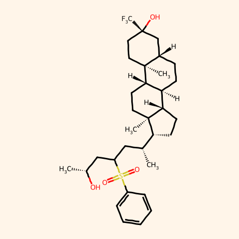 C[C@H](CC(C[C@@H](C)O)S(=O)(=O)c1ccccc1)[C@H]1CC[C@H]2[C@@H]3CC[C@H]4C[C@](O)(C(F)(F)F)CC[C@]4(C)[C@H]3CC[C@]12C